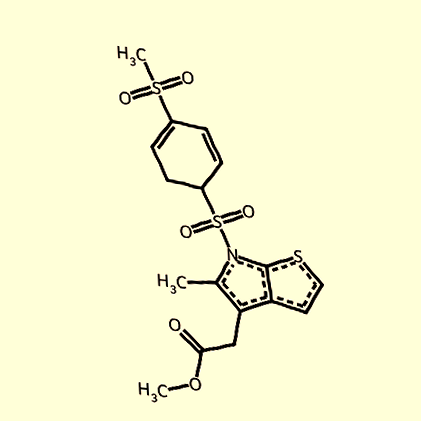 COC(=O)Cc1c(C)n(S(=O)(=O)C2C=CC(S(C)(=O)=O)=CC2)c2sccc12